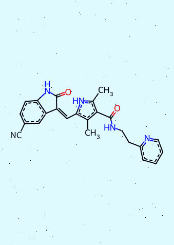 Cc1[nH]c(/C=C2\C(=O)Nc3ccc(C#N)cc32)c(C)c1C(=O)NCCc1ccccn1